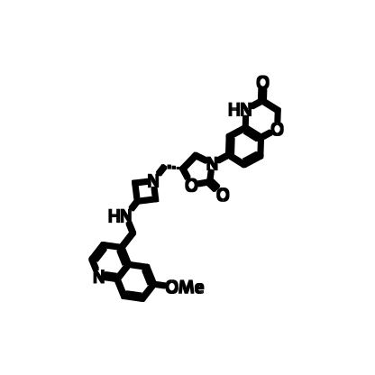 COc1ccc2nccc(CNC3CN(C[C@@H]4CN(c5ccc6c(c5)NC(=O)CO6)C(=O)O4)C3)c2c1